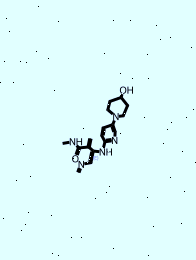 C=N/C=C(/Nc1ccc(N2CCC(O)CC2)cn1)C(=C)C(=O)NC